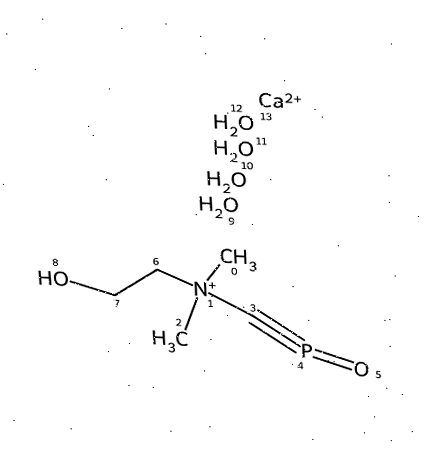 C[N+](C)(C#P=O)CCO.O.O.O.O.[Ca+2]